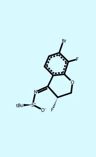 CC(C)(C)[S@+]([O-])N=C1c2ccc(Br)c(F)c2OC[C@@H]1F